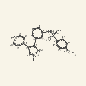 O=S(=O)(Nc1cccc(-c2n[nH]cc2-c2ccncc2)c1)c1ccc(C(F)(F)F)cc1